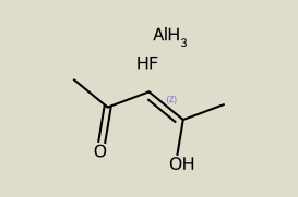 CC(=O)/C=C(/C)O.F.[AlH3]